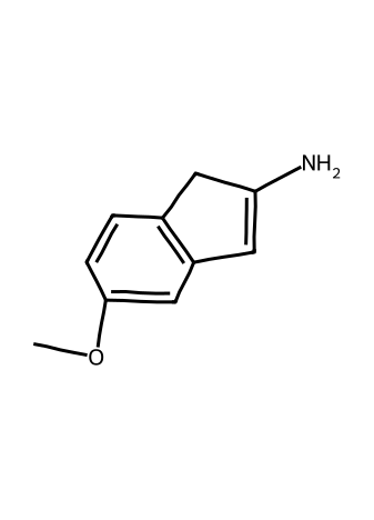 COc1ccc2c(c1)C=C(N)C2